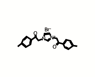 Cc1ccc(C(=O)Cn2cc[n+](CC(=O)c3ccc(C)cc3)c2)cc1.[Br-]